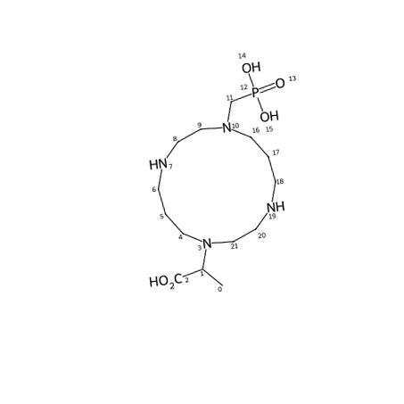 CC(C(=O)O)N1CCCNCCN(CP(=O)(O)O)CCCNCC1